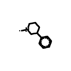 [CH2]N1CCCC(c2ccccc2)C1